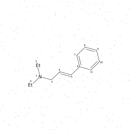 CCN(CC)C[C]=Cc1ccccc1